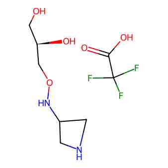 O=C(O)C(F)(F)F.OC[C@@H](O)CONC1CNC1